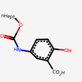 CCCCCCCOC(=O)Nc1ccc(O)c(C(=O)O)c1